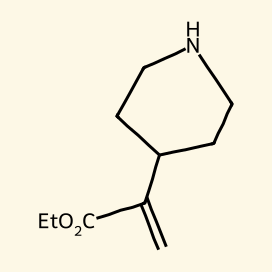 C=C(C(=O)OCC)C1CCNCC1